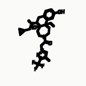 CCC12CCN(C(=O)Cn3cc(C)c(C(F)(F)F)n3)CCC1(O)C(N(C)CC1CC1)Cc1ccc(O)cc12